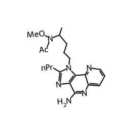 CCCc1nc2c(N)nc3cccnc3c2n1CCCC(C)N(OC)C(C)=O